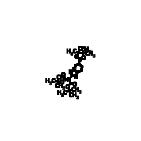 CC(C)(C)OC(=O)N(C(=O)OC(C)(C)C)c1nc2ccc(B3OC(C)(C)C(C)(C)O3)cn2n1